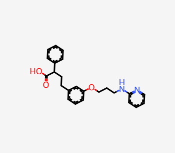 O=C(O)C(CCc1cccc(OCCCNc2ccccn2)c1)c1ccccc1